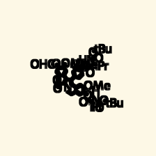 COc1cc2c(cc1OC=O)oc(=O)c1c2c(-c2ccc(OC(=O)[C@@H](NC(=O)OC(C)(C)C)C(C)C)c(OC)c2)c2n1CCc1cc(OC(=O)[C@@H](NC(=O)OC(C)(C)C)C(C)C)c(OC)cc1-2